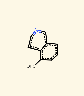 O=[C]c1cccc2cnccc12